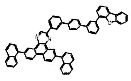 c1cc(-c2ccc(-c3cccc(-c4cccc5c4oc4ccccc45)c3)cc2)cc(-c2cnc3c4cc(-c5cccc6ccccc56)ccc4c4ccc(-c5cccc6ccccc56)cc4c3n2)c1